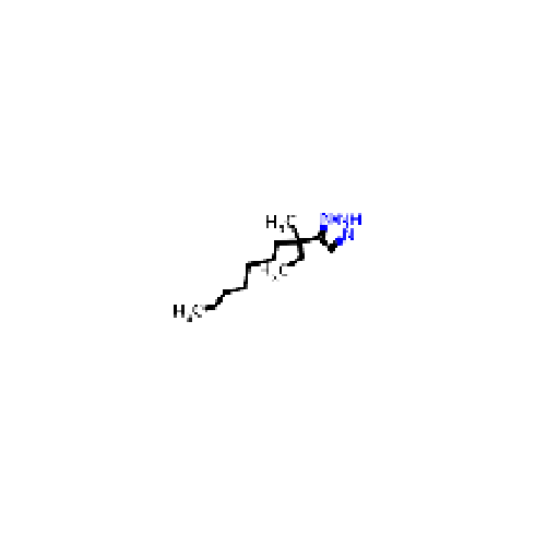 CCCCCCCC(C)(CC)c1cn[nH]n1